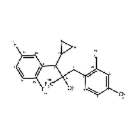 N#Cc1ccc(CC(O)(C(c2cc(F)ccc2F)C2CC2)C(F)(F)F)c(Cl)c1